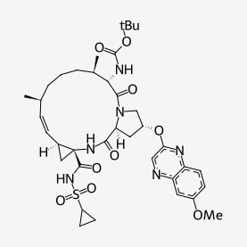 COc1ccc2nc(O[C@@H]3C[C@H]4C(=O)N[C@]5(C(=O)NS(=O)(=O)C6CC6)C[C@H]5/C=C\[C@@H](C)CCC[C@@H](C)[C@H](NC(=O)OC(C)(C)C)C(=O)N4C3)cnc2c1